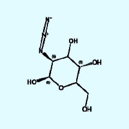 [N-]=[N+]=N[C@H]1C(O)[C@H](O)C(CO)O[C@H]1O